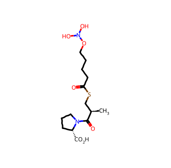 C[C@H](CSC(=O)CCCCON(O)O)C(=O)N1CCC[C@H]1C(=O)O